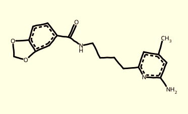 Cc1cc(N)nc(CCCCNC(=O)c2ccc3c(c2)OCO3)c1